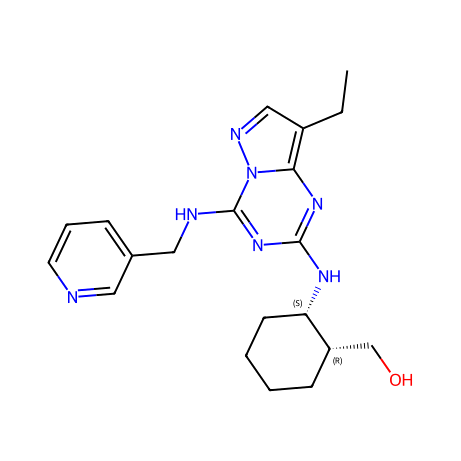 CCc1cnn2c(NCc3cccnc3)nc(N[C@H]3CCCC[C@H]3CO)nc12